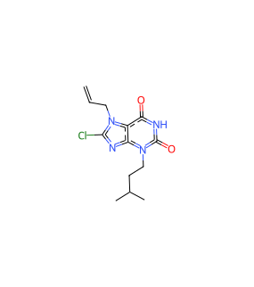 C=CCn1c(Cl)nc2c1c(=O)[nH]c(=O)n2CCC(C)C